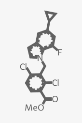 COC(=O)c1ccc(Cl)c(Cn2ccc3cc(C4CC4)cc(F)c32)c1Cl